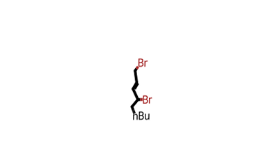 CCCCCC(Br)/C=C/CBr